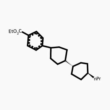 CCC[C@H]1CC[C@H](C2CCC(c3ccc(C(=O)OCC)cc3)CC2)CC1